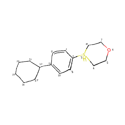 c1cc([SH]2CCOCC2)ccc1C1CCCCC1